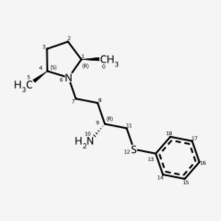 C[C@@H]1CC[C@H](C)N1CC[C@@H](N)CSc1ccccc1